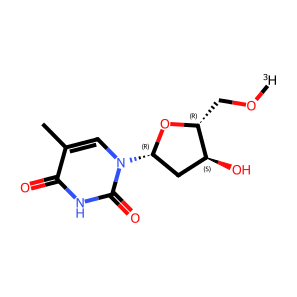 [3H]OC[C@H]1O[C@@H](n2cc(C)c(=O)[nH]c2=O)C[C@@H]1O